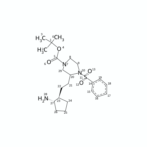 CC(C)(C)OC(=O)N1CCN(S(=O)(=O)c2ccccc2)C(CC[C@H]2CCC[C@@H]2N)C1